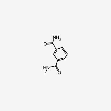 NC(=O)c1cccc(C(=O)NI)c1